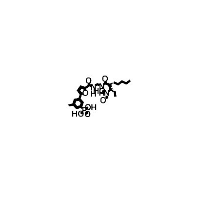 CCCCC[C@@H](C(=O)NCNC(=O)c1ccc(-c2cc(C)cc(P(=O)(O)O)c2)o1)[C@@H](CC)N(O)C=O